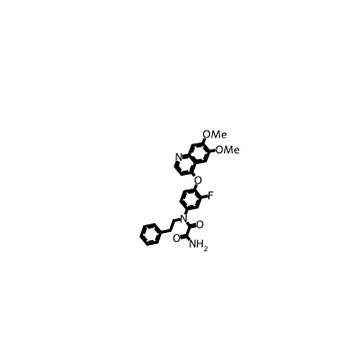 COc1cc2nccc(Oc3ccc(N(CCc4ccccc4)C(=O)C(N)=O)cc3F)c2cc1OC